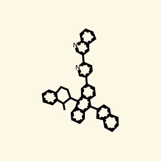 CC1c2ccccc2CCC1c1c2ccccc2c(-c2ccc3ccccc3c2)c2ccc(-c3ccc(-c4cnc5ccccc5c4)nc3)cc12